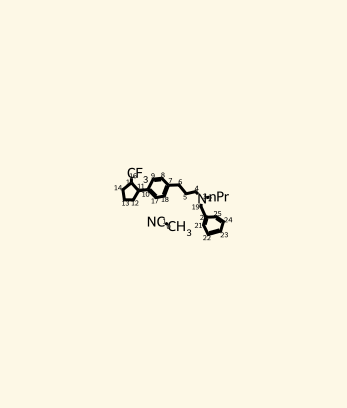 CC#N.CCCN(CCCc1ccc(C2CCCC2C(F)(F)F)cc1)Cc1ccccc1